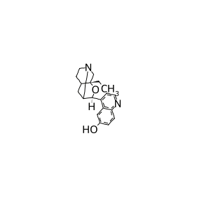 CC[C@]12CN3CCC1CC3[C@H](c1ccnc3ccc(O)cc13)O2